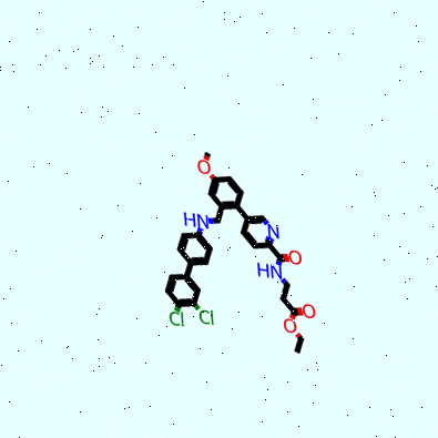 CCOC(=O)CCNC(=O)c1ccc(-c2ccc(OC)cc2CNc2ccc(-c3ccc(Cl)c(Cl)c3)cc2)cn1